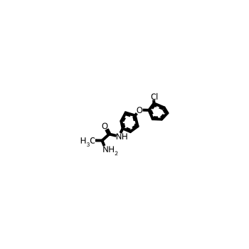 CC(N)C(=O)Nc1ccc(Oc2ccccc2Cl)cc1